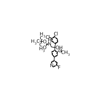 COc1cc(-c2cncc(F)c2)ccc1C(O)(CNC(=O)OC(C)(C)C)c1ccc(Cl)c(Cl)c1